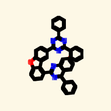 c1ccc(-c2nc(-c3ccccc3)nc(-c3ccc4oc5cccc(-c6nc(-c7ccccc7)c7ccccc7n6)c5c4c3)n2)cc1